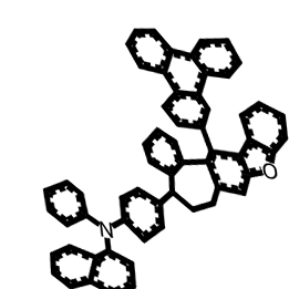 c1ccc(N(c2ccc(C3CCc4cc5oc6ccccc6c5c(-c5ccc6c7ccccc7c7ccccc7c6c5)c4-c4ccccc43)cc2)c2cccc3ccccc23)cc1